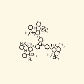 CC1(C)CCN2CCC(C)(C)c3cc(-c4ccc(-n5c6ccc(-c7cc8c9c(c7)C(C)(C)c7ccccc7N9c7ccccc7C8(C)C)cc6c6cc(-c7cc8c9c(c7)C(C)(C)c7ccccc7N9c7ccccc7C8(C)C)ccc65)cc4)cc1c32